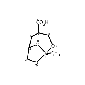 C[Si]12OCC(CC(C(=O)O)CO1)O2